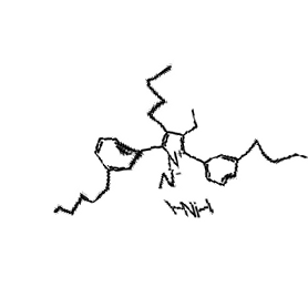 CCCCC1=C(c2cccc(CCCC)c2)[N+](=[N-])C(c2cccc(CCCC)c2)=C1CC.[I][Ni][I]